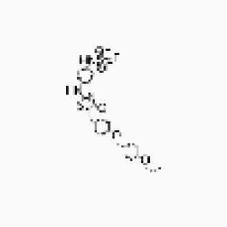 CC(C)COc1ccc(COc2ccc(C=C3SC(Nc4ccc(NS(=O)(=O)C(F)(F)F)cc4)=NC3=O)cc2)cc1